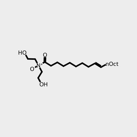 CCCCCCCCC=CCCCCCCCC(=O)[N+]([O-])(CCO)CCO